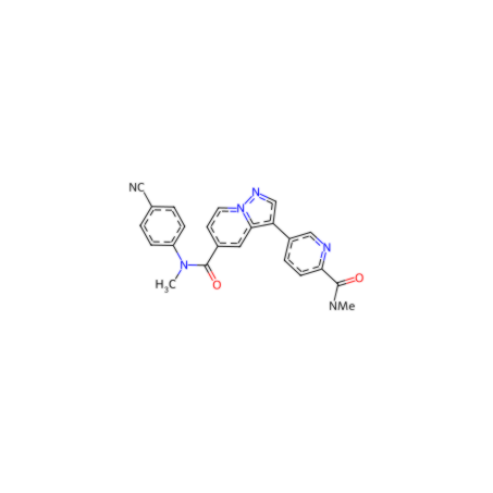 CNC(=O)c1ccc(-c2cnn3ccc(C(=O)N(C)c4ccc(C#N)cc4)cc23)cn1